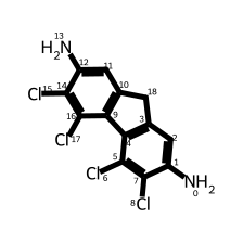 Nc1cc2c(c(Cl)c1Cl)-c1c(cc(N)c(Cl)c1Cl)C2